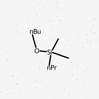 [CH2]CC[Si](C)(C)OCCCC